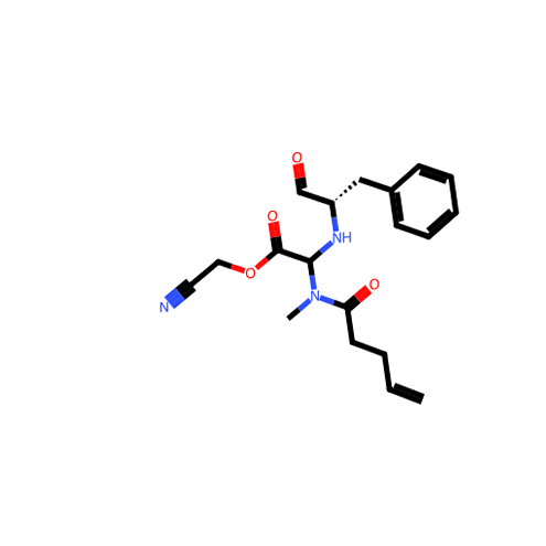 C=CCCC(=O)N(C)C(N[C@H](C=O)Cc1ccccc1)C(=O)OCC#N